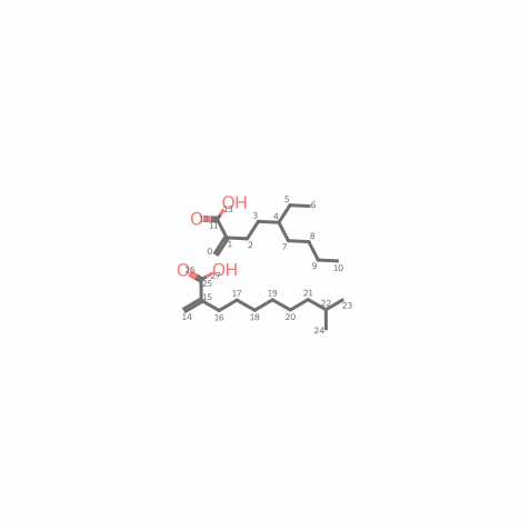 C=C(CCC(CC)CCCC)C(=O)O.C=C(CCCCCCC(C)C)C(=O)O